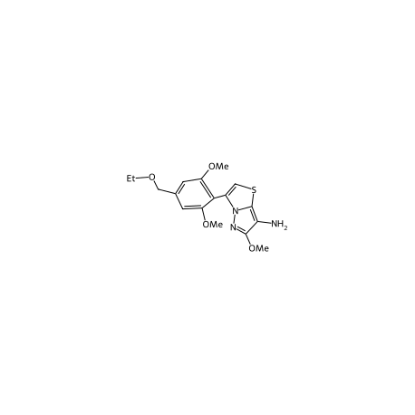 CCOCc1cc(OC)c(-c2csc3c(N)c(OC)nn23)c(OC)c1